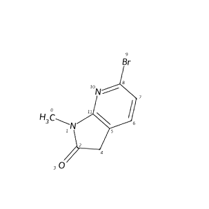 CN1C(=O)Cc2ccc(Br)nc21